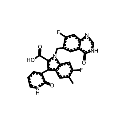 Cc1cc2c(-c3ccc[nH]c3=O)c(C(=O)O)n(Cc3cc4c(=O)[nH]cnc4cc3F)c2cc1F